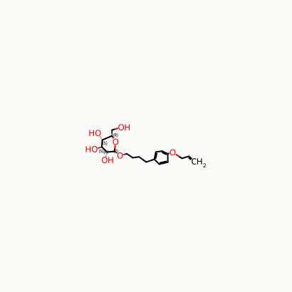 C=CCOc1ccc(CCCCO[C@@H]2O[C@H](CO)[C@@H](O)[C@H](O)[C@H]2O)cc1